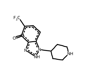 O=c1c(C(F)(F)F)ccc2n(C3CCNCC3)[nH]nc1-2